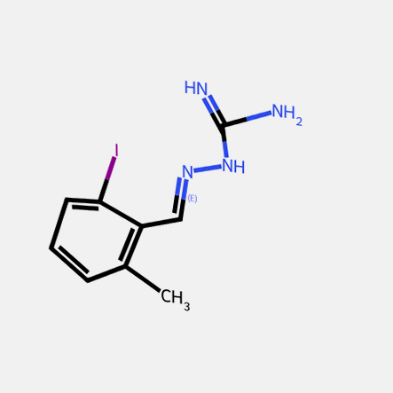 Cc1cccc(I)c1/C=N/NC(=N)N